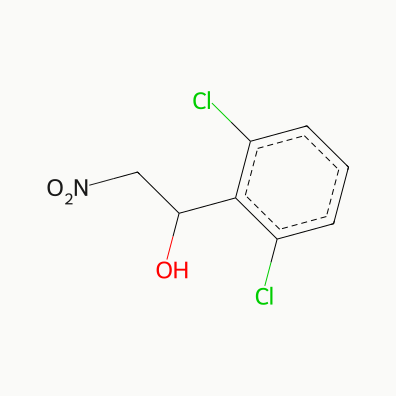 O=[N+]([O-])CC(O)c1c(Cl)cccc1Cl